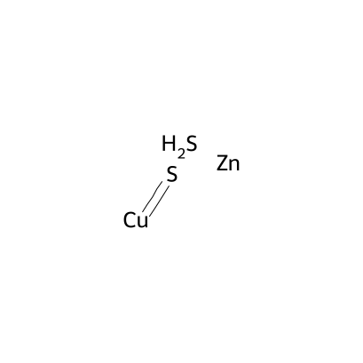 S.[S]=[Cu].[Zn]